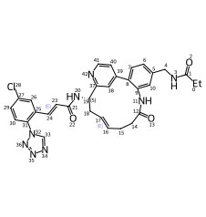 CCC(=O)NCc1ccc2c(c1)NC(=O)CC/C=C/C[C@H](NC(=O)/C=C/c1cc(Cl)ccc1-n1cnnn1)c1cc-2ccn1